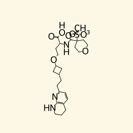 CS(=O)(=O)C1(C(=O)NC(CCOC2CC(CCc3ccc4c(n3)NCCC4)C2)C(=O)O)CCOCC1